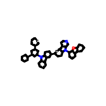 c1ccc(-c2cc(-c3ccccc3)cc(-n3c4ccccc4c4cc(-c5ccc6c(c5)c5ccncc5n6-c5cccc6c5oc5ccccc56)ccc43)c2)cc1